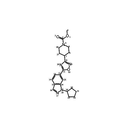 COC(=O)N1CCC(c2noc(-c3ccc4cnn(C5CCCC5)c4c3)n2)CC1